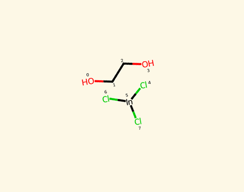 OCCO.[Cl][In]([Cl])[Cl]